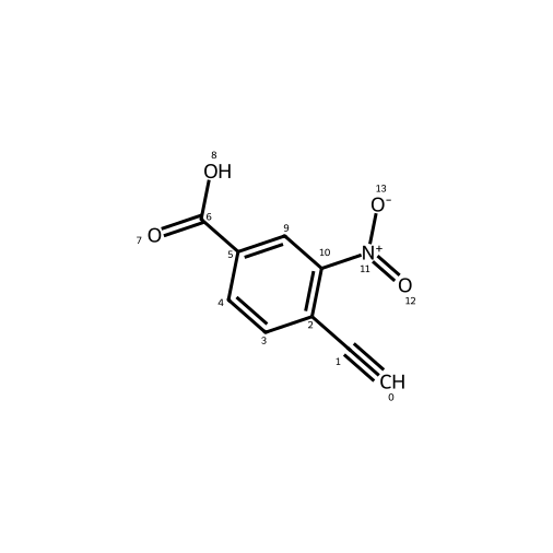 C#Cc1ccc(C(=O)O)cc1[N+](=O)[O-]